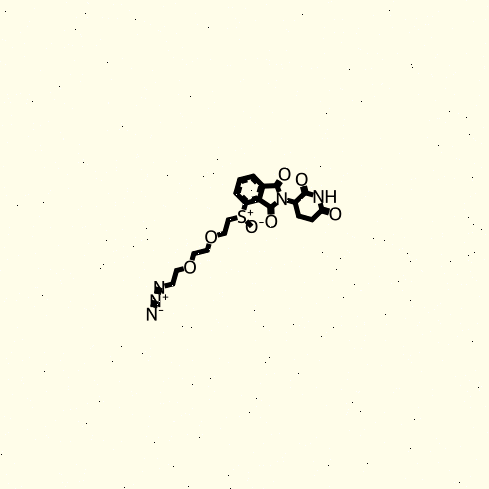 [N-]=[N+]=NCCOCCOCC[S+]([O-])c1cccc2c1C(=O)N(C1CCC(=O)NC1=O)C2=O